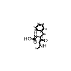 CNCC(=O)C(Cc1ccccc1)NC(=O)O